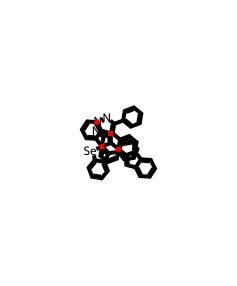 C1=CC2(C3=Cc4ccccc4C3=C1)C1=Cc3ccccc3C1=CC=C2c1c(-c2ccccc2)nnnc1-c1[se]c2ccccc2c1-c1ccccc1